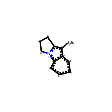 CC(C)(C)c1c2n(c3ccccc13)CCC2